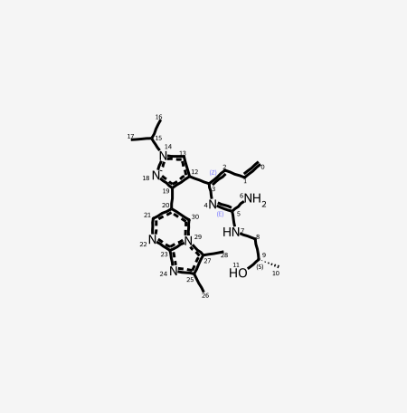 C=C/C=C(\N=C(/N)NC[C@H](C)O)c1cn(C(C)C)nc1-c1cnc2nc(C)c(C)n2c1